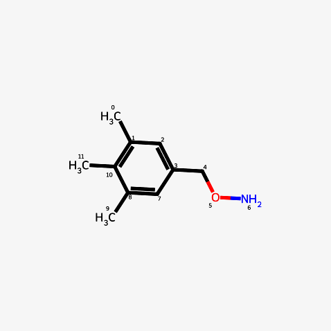 Cc1cc(CON)cc(C)c1C